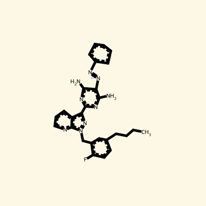 CCCCc1ccc(F)c(Cn2nc(-c3nc(N)c(/N=N/c4ccccc4)c(N)n3)c3cccnc32)c1